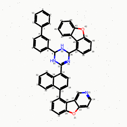 c1ccc(-c2cccc(C3NC(c4ccc(-c5cccc6oc7ccncc7c56)c5ccccc45)=NC(c4cccc5oc6ccccc6c45)N3)c2)cc1